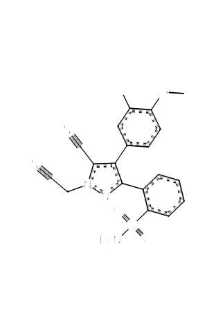 COc1ccc(-c2c(-c3ccccc3S(N)(=O)=O)nn(CC#N)c2C#N)cc1F